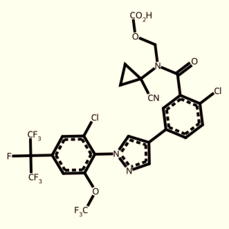 N#CC1(N(COC(=O)O)C(=O)c2cc(-c3cnn(-c4c(Cl)cc(C(F)(C(F)(F)F)C(F)(F)F)cc4OC(F)(F)F)c3)ccc2Cl)CC1